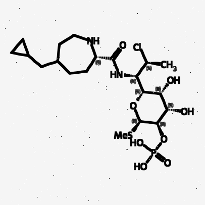 CS[C@H]1O[C@H]([C@H](NC(=O)[C@@H]2CCC(CC3CC3)CCN2)[C@H](C)Cl)[C@H](O)[C@H](O)[C@H]1OP(=O)(O)O